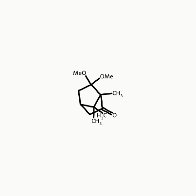 COC1(OC)CC2CC(=O)C1(C)C2(C)C